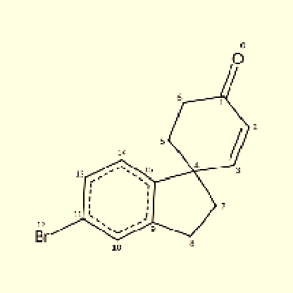 O=C1C=CC2(CC1)CCc1cc(Br)ccc12